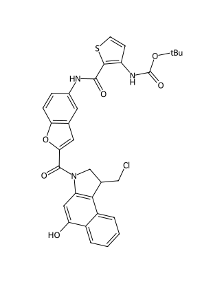 CC(C)(C)OC(=O)Nc1ccsc1C(=O)Nc1ccc2oc(C(=O)N3CC(CCl)c4c3cc(O)c3ccccc43)cc2c1